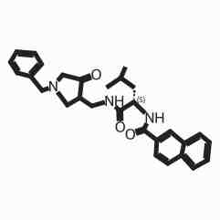 CC(C)C[C@H](NC(=O)c1ccc2ccccc2c1)C(=O)NCC1CN(Cc2ccccc2)CC1=O